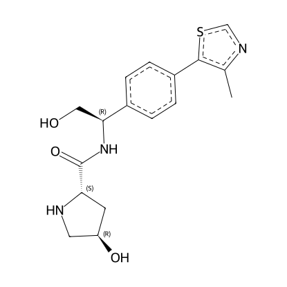 Cc1ncsc1-c1ccc([C@H](CO)NC(=O)[C@@H]2C[C@@H](O)CN2)cc1